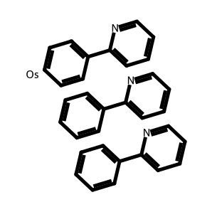 [Os].c1ccc(-c2ccccn2)cc1.c1ccc(-c2ccccn2)cc1.c1ccc(-c2ccccn2)cc1